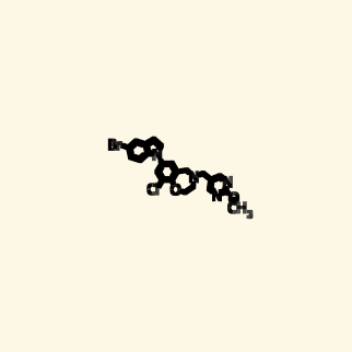 COc1ncc(CN2CCOc3c(Cl)cc(-n4ccc5cc(Br)ccc54)cc3C2)cn1